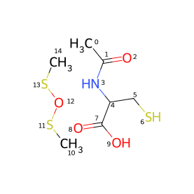 CC(=O)NC(CS)C(=O)O.CSOSC